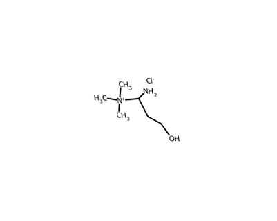 C[N+](C)(C)C(N)CCO.[Cl-]